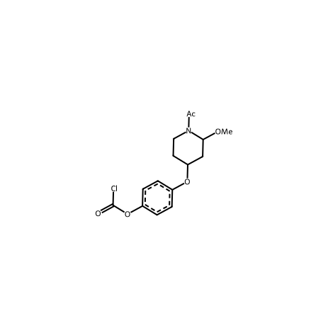 COC1CC(Oc2ccc(OC(=O)Cl)cc2)CCN1C(C)=O